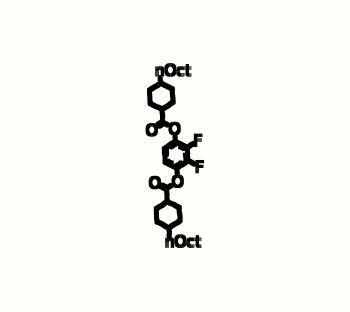 CCCCCCCCC1CCC(C(=O)Oc2ccc(OC(=O)C3CCC(CCCCCCCC)CC3)c(F)c2F)CC1